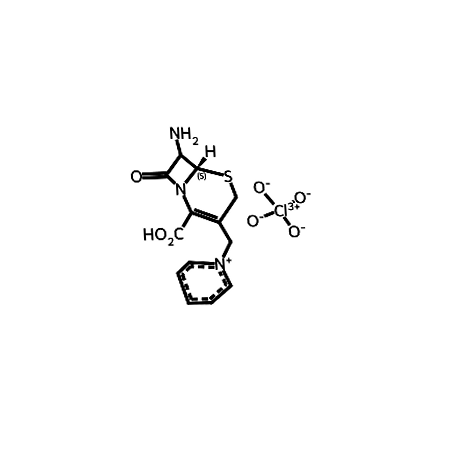 NC1C(=O)N2C(C(=O)O)=C(C[n+]3ccccc3)CS[C@@H]12.[O-][Cl+3]([O-])([O-])[O-]